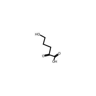 O=C(O)C(=O)CCCO